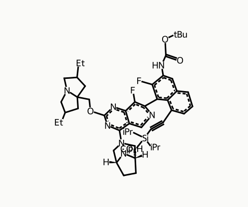 CCC1CN2CC(CC)CC2(COc2nc(N3C[C@H]4CC[C@@H](C3)N4C(=O)O)c3cnc(-c4c(F)c(NC(=O)OC(C)(C)C)cc5cccc(C#C[Si](C(C)C)(C(C)C)C(C)C)c45)c(F)c3n2)C1